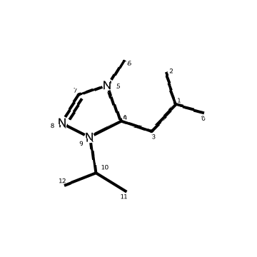 CC(C)CC1N(C)C=NN1C(C)C